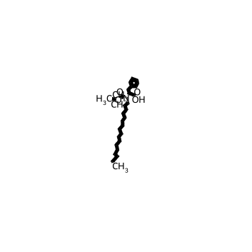 CCCCCCCCCCCCCCCCCN(C(=O)OC(C)(C)C)C(Cc1ccccc1)C(=O)O